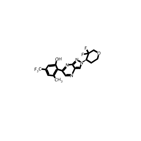 Cc1cc(C(F)(F)F)cc(O)c1-c1cnc2cn([C@@H]3CCOCC3(F)F)nc2n1